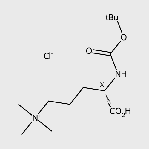 CC(C)(C)OC(=O)N[C@@H](CCC[N+](C)(C)C)C(=O)O.[Cl-]